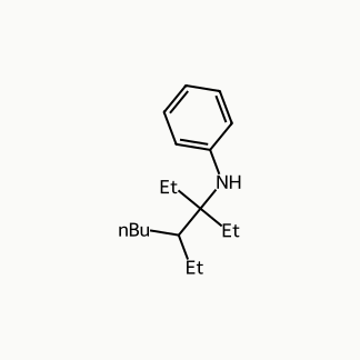 CCCCC(CC)C(CC)(CC)Nc1ccccc1